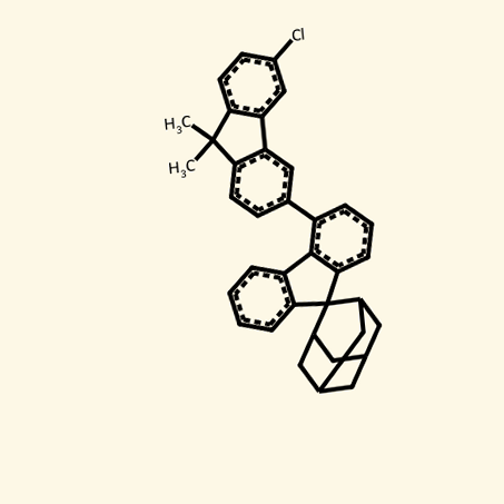 CC1(C)c2ccc(Cl)cc2-c2cc(-c3cccc4c3-c3ccccc3C43C4CC5CC(C4)CC3C5)ccc21